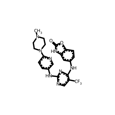 CN1CCN(c2ccc(Nc3ncc(C(F)(F)F)c(Nc4ccc5oc(=O)[nH]c5c4)n3)cn2)CC1